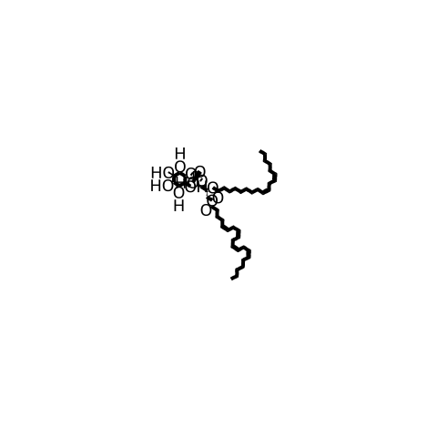 CCCCC/C=C\C/C=C\C/C=C\C/C=C\CCCC(=O)OC[C@H](COP(=O)(O)OC1C(O)C(O)C(O)[C@@H](O)C1O)OC(=O)CCCCCCC/C=C\C/C=C\CCCCC